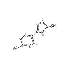 Cc1ncn(-c2ccc(C(C)C)cn2)n1